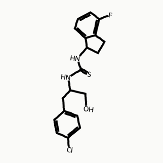 OCC(Cc1ccc(Cl)cc1)NC(=S)NC1CCc2c(F)cccc21